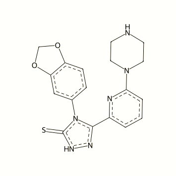 S=c1[nH]nc(-c2cccc(N3CCNCC3)n2)n1-c1ccc2c(c1)OCO2